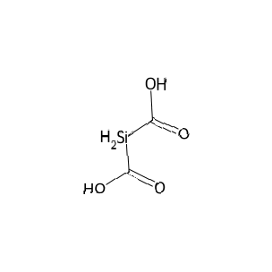 O=C(O)[SiH2]C(=O)O